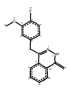 C=C1NN=C(Cc2ccc(F)c(OC)c2)c2ccccc21